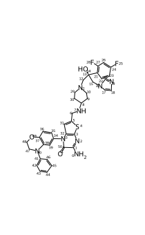 Nc1nc2sc(CNC3CCN(C[C@@](O)(Cn4ccnc4)c4ccc(F)cc4F)CC3)cc2n(-c2ccc3c(c2)N(c2ccccc2)CCO3)c1=O